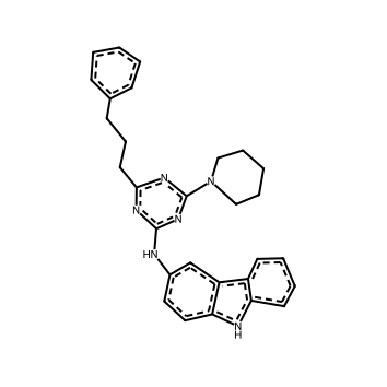 c1ccc(CCCc2nc(Nc3ccc4[nH]c5ccccc5c4c3)nc(N3CCCCC3)n2)cc1